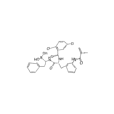 C=C(C)C(=O)Nc1cccc(CC(NC(=O)c2cc(Cl)ccc2Cl)C(=O)NC(Cc2ccccc2)B(O)O)c1